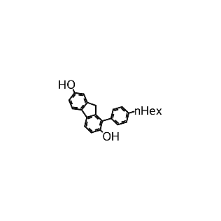 CCCCCCc1ccc(-c2c(O)ccc3c2Cc2cc(O)ccc2-3)cc1